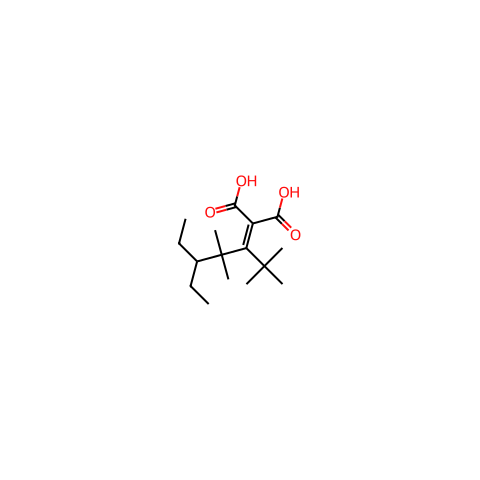 CCC(CC)C(C)(C)C(=C(C(=O)O)C(=O)O)C(C)(C)C